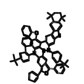 CC(C)(C)c1ccc(N2B3c4cc5c(-c6ccccc6)oc(-c6ccccc6)c5cc4N(c4ccc(C(C)(C)C)cc4-c4ccccc4)c4cc5c(oc6ccccc65)c(c43)-c3cc4c(cc32)sc2cc3c(cc24)C(C)(C)CCC3(C)C)cc1